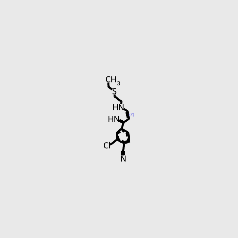 CCSCCN/C=C\C(=N)c1ccc(C#N)c(Cl)c1